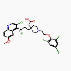 COc1ccc2ncc(Cl)c([C@@H](F)CCC3(CC(=O)O)CCN(CCOc4c(F)cc(F)cc4F)CC3)c2c1